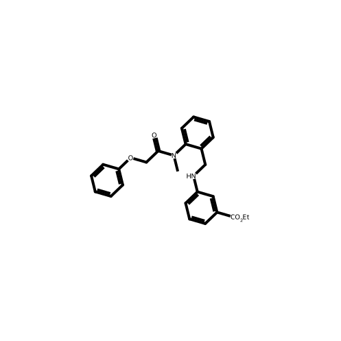 CCOC(=O)c1cccc(NCc2ccccc2N(C)C(=O)COc2ccccc2)c1